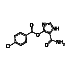 NC(=O)c1[nH]cnc1OC(=O)c1ccc(Cl)cc1